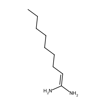 CCCCCCCC=C(N)N